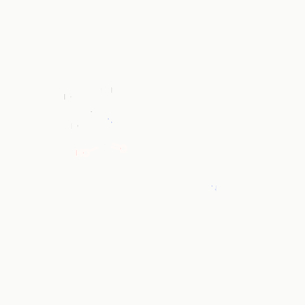 CC(C)(C)N(C(=O)O)C1CCCc2cc(CCN3CCCCC3)ccc21